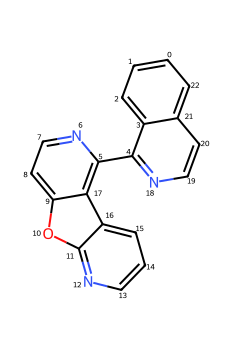 c1ccc2c(-c3nccc4oc5ncccc5c34)nccc2c1